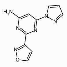 Nc1cc(-n2cccn2)nc(-c2ccon2)n1